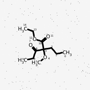 CCCC(OC)(C(=O)CC)C(=O)OCC